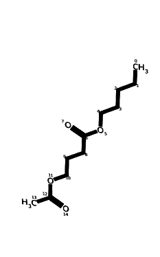 CCCCCOC(=O)CCCOC(C)=O